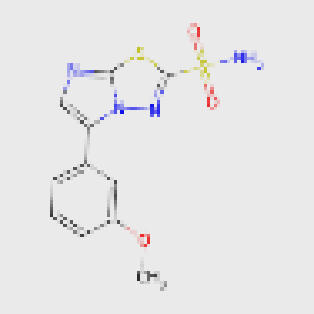 COc1cccc(-c2cnc3sc(S(N)(=O)=O)nn23)c1